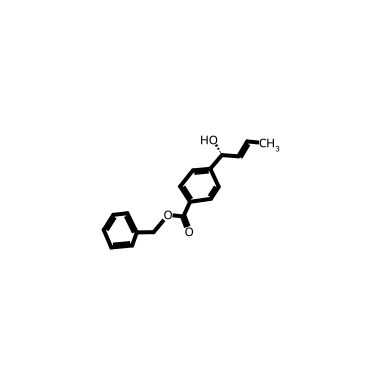 CC=C[C@@H](O)c1ccc(C(=O)OCc2ccccc2)cc1